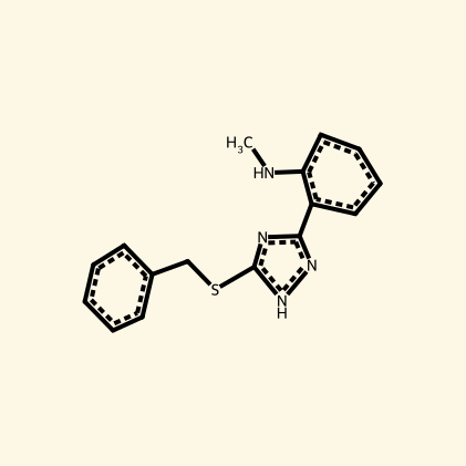 CNc1ccccc1-c1n[nH]c(SCc2ccccc2)n1